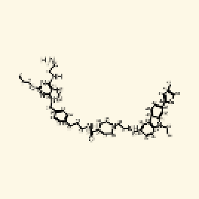 CCCSc1nc(NCCN)c2nnn(Cc3ccc(CCCNC(=O)C4CCN(CCNCc5ccc6c(c5)c5ccc(-c7cc(C)cs7)cc5n6CC)CC4)cc3)c2n1